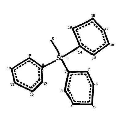 C[Si](c1[c]cccc1)(c1ccccc1)c1ccccc1